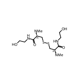 CN[C@@H](CSSC[C@H](NC)C(=O)NCCO)C(=O)NCCO